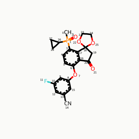 CP(=O)(c1ccc(Oc2cc(F)cc(C#N)c2)c2c1C1(CC2=O)OCCO1)C1CC1